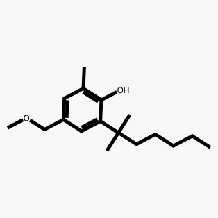 CCCCCC(C)(C)c1cc(COC)cc(C)c1O